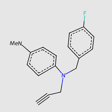 C#CCN(Cc1ccc(F)cc1)c1ccc(NC)cc1